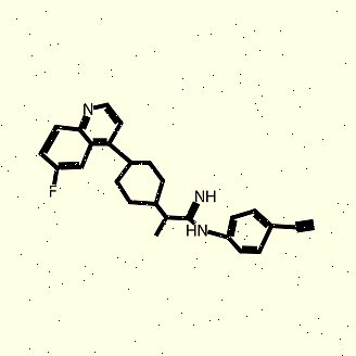 C#Cc1ccc(NC(=N)C(C)C2CCC(c3ccnc4ccc(F)cc34)CC2)cc1